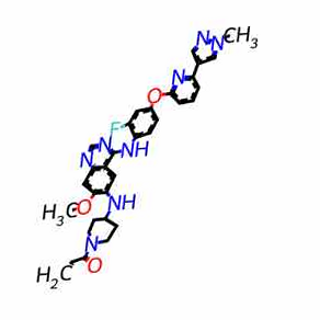 C=CC(=O)N1CCC(Nc2cc3c(Nc4ccc(Oc5cccc(-c6cnn(C)c6)n5)cc4F)ncnc3cc2OC)CC1